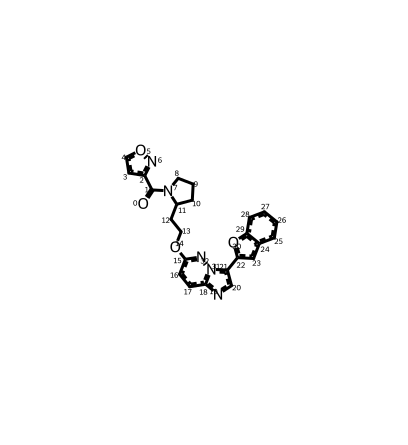 O=C(c1ccon1)N1CCCC1CCOc1ccc2ncc(-c3cc4ccccc4o3)n2n1